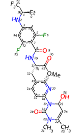 CC[C@@H](Nc1cc(F)c(C(=O)N[C@@H](Cc2ccc(N3C(=O)N(C)C(C)=CC3O)nc2)C(=O)OC)c(F)c1)C(F)(F)F